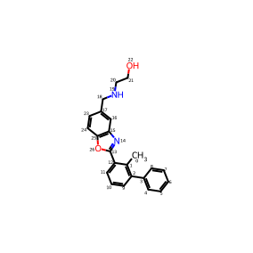 Cc1c(-c2ccccc2)cccc1-c1nc2cc(CNCCO)ccc2o1